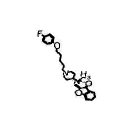 CN(C=C1Oc2ccccc2C1=O)C1CCN(CCCCCOc2ccc(F)cc2)CC1